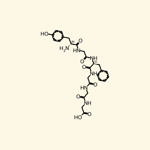 N[C@H](Cc1ccc(O)cc1)C(=O)NCC(=O)N[C@@H](Cc1ccccc1)C(=O)NCC(=O)NCC(=O)NCC(=O)O